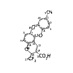 N#Cc1ccc(Oc2c(Cl)ccc3c2C=C(C(=O)O)C(C(F)(F)F)O3)cc1